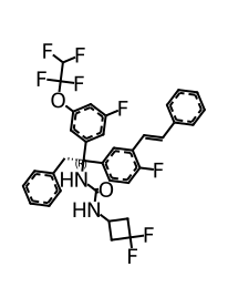 O=C(NC1CC(F)(F)C1)N[C@@](Cc1ccccc1)(c1cc(F)cc(OC(F)(F)C(F)F)c1)c1ccc(F)c(C=Cc2ccccc2)c1